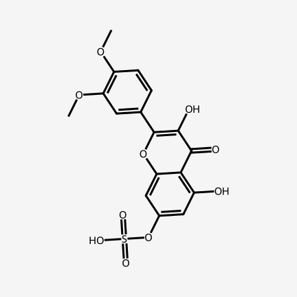 COc1ccc(-c2oc3cc(OS(=O)(=O)O)cc(O)c3c(=O)c2O)cc1OC